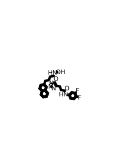 O=C(CC(Cc1ccc2ccccc2c1)n1cc(CCC(=O)Nc2ccc(F)c(F)c2)nn1)NO